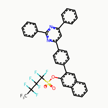 O=S(=O)(Oc1cc2ccccc2cc1-c1ccc(-c2cc(-c3ccccc3)nc(-c3ccccc3)n2)cc1)C(F)(F)C(F)(F)C(F)(F)C(F)(F)F